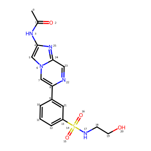 CC(=O)Nc1cn2cc(-c3cccc(S(=O)(=O)NCCO)c3)ncc2n1